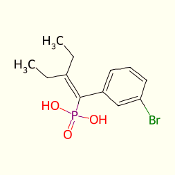 CCC(CC)=C(c1cccc(Br)c1)P(=O)(O)O